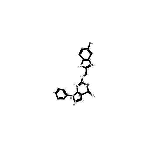 O=c1[nH]c(SCc2nc3cc(F)ccc3o2)nc2c1cnn2-c1ccccc1